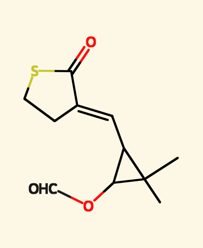 CC1(C)C(C=C2CCSC2=O)C1OC=O